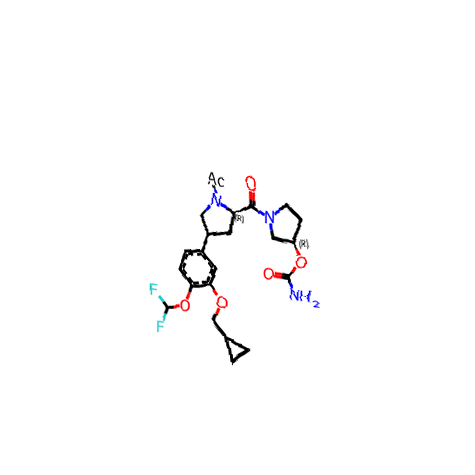 CC(=O)N1CC(c2ccc(OC(F)F)c(OCC3CC3)c2)C[C@@H]1C(=O)N1CC[C@@H](OC(N)=O)C1